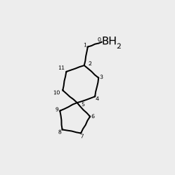 BCC1CCC2(CCCC2)CC1